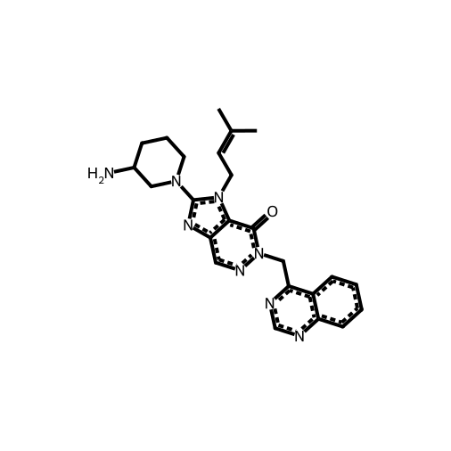 CC(C)=CCn1c(N2CCCC(N)C2)nc2cnn(Cc3ncnc4ccccc34)c(=O)c21